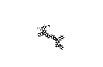 Cc1ccc(C#N)cc1-c1cc2c3cc4ccccc4cc3n3c4cc5ccc(-c6ccc7cc8c(cc7c6)c6cc(-c7cccc9c7oc7ccccc79)cc7c9cc%10ccccc%10cc9n8c76)cc5cc4c(c1)c23